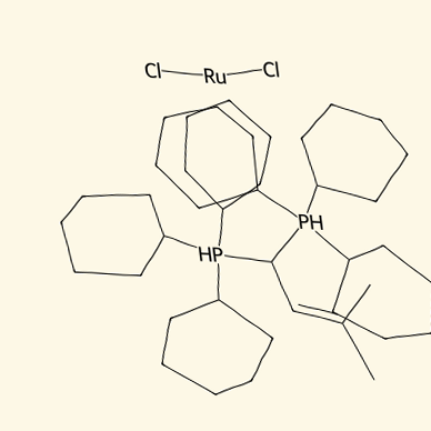 CC(C)=CC([PH](C1CCCCC1)(C1CCCCC1)C1CCCCC1)[PH](C1CCCCC1)(C1CCCCC1)C1CCCCC1.[Cl][Ru][Cl]